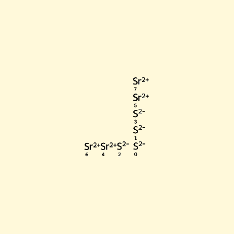 [S-2].[S-2].[S-2].[S-2].[Sr+2].[Sr+2].[Sr+2].[Sr+2]